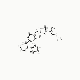 CCCC(=O)N1C[N+]([O-])(Cc2ccc(-c3ccccc3-c3nnn[nH]3)cc2)CN1